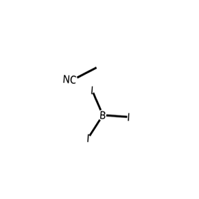 CC#N.IB(I)I